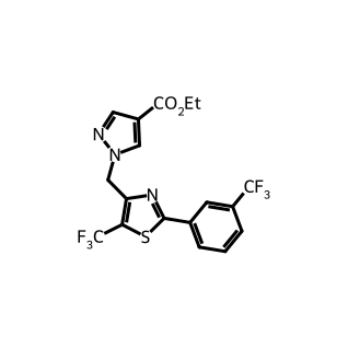 CCOC(=O)c1cnn(Cc2nc(-c3cccc(C(F)(F)F)c3)sc2C(F)(F)F)c1